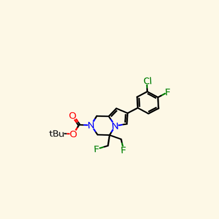 CC(C)(C)OC(=O)N1Cc2cc(-c3ccc(F)c(Cl)c3)cn2C(CF)(CF)C1